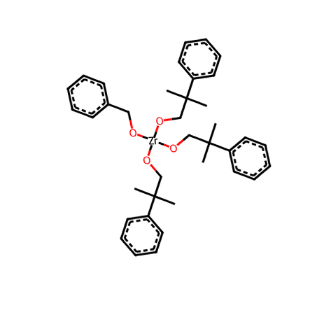 CC(C)(C[O][Zr]([O]Cc1ccccc1)([O]CC(C)(C)c1ccccc1)[O]CC(C)(C)c1ccccc1)c1ccccc1